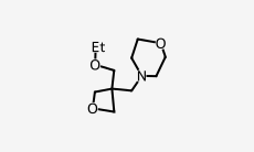 CCOCC1(CN2CCOCC2)COC1